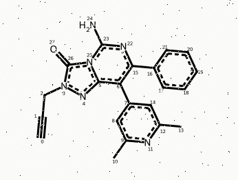 C#CCn1nc2c(-c3cc(C)nc(C)c3)c(-c3ccccc3)nc(N)n2c1=O